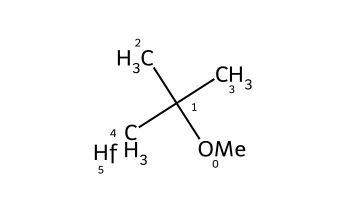 COC(C)(C)C.[Hf]